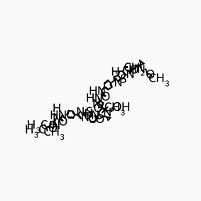 C=CC1=C(/N=C/OCC2(NCCOC)CC2)SC2=NC(c3ccc(NC(=O)Nc4cc(C(C)(C)N(CCO)C5(COc6ccc7c(n6)sc6nc(-c8ccc(NC(=O)Nc9cc(C(C)(C)C)on9)cc8)cn67)CC5)on4)cc3)=C[C@@H]2C1